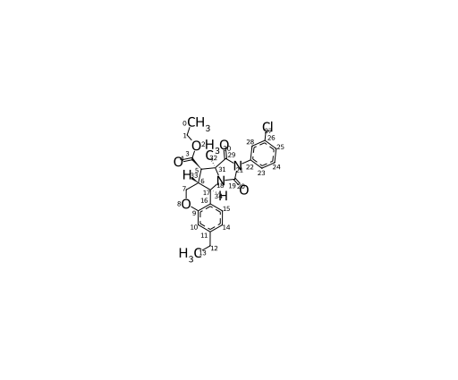 CCOC(=O)[C@@H]1[C@H]2COc3cc(CC)ccc3[C@@H]2N2C(=O)N(c3cccc(Cl)c3)C(=O)[C@]12C